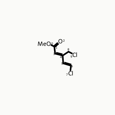 COC(=O)C=C(C=CCl)CCl